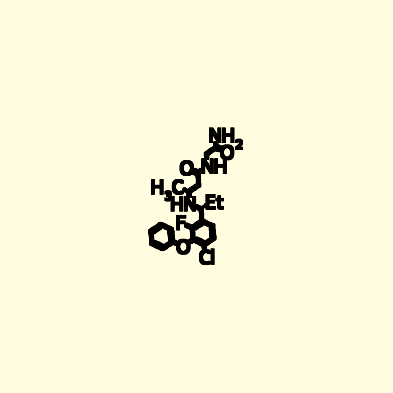 CC[C@@H](N[C@@H](C)CC(=O)NCC(N)=O)c1ccc(Cl)c(Oc2ccccc2)c1F